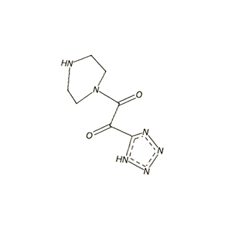 O=C(C(=O)N1CCNCC1)c1nnn[nH]1